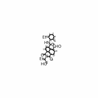 CCc1cccc(C)c1NC(=O)c1ccc2c3c(ccc(C=O)c13)C(=O)N(C(CC)CO)C2=O